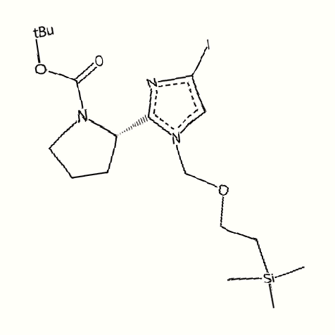 CC(C)(C)OC(=O)N1CCC[C@H]1c1nc(I)cn1COCC[Si](C)(C)C